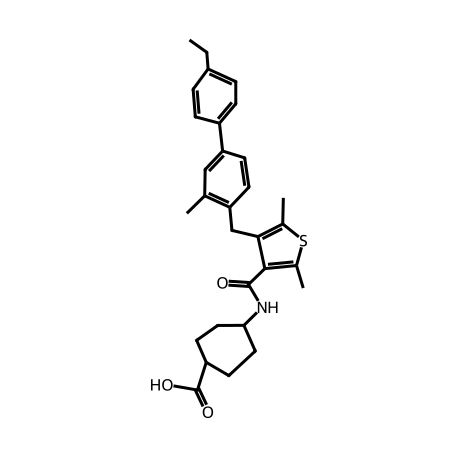 CCc1ccc(-c2ccc(Cc3c(C)sc(C)c3C(=O)NC3CCC(C(=O)O)CC3)c(C)c2)cc1